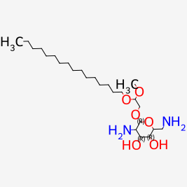 CCCCCCCCCCCCCCCCOC(CO[C@@H]1OC(CN)[C@H](O)[C@H](O)C1N)OC